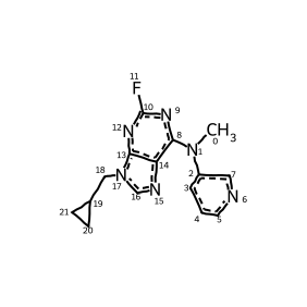 CN(c1cccnc1)c1nc(F)nc2c1ncn2CC1CC1